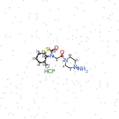 Cl.NN1CCN(C(=O)Cn2c(=O)sc3cccc(Cl)c32)CC1